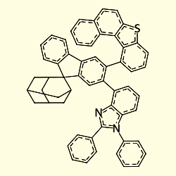 c1ccc(-c2nc3c(-c4cc5c(cc4-c4cccc6sc7ccc8ccccc8c7c46)-c4ccccc4C54C5CC6CC(C5)CC4C6)cccc3n2-c2ccccc2)cc1